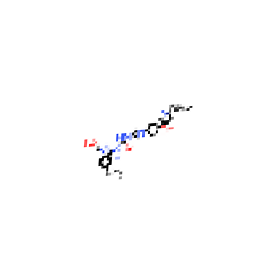 COc1ccc([C@]2(O)CC[C@H](N3CC(NC(=O)CNc4nn(CCO)c5ccc(C(F)(F)F)cc45)C3)CC2)cn1